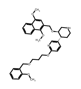 COc1ccccc1COCCCOc1ccc([C@H]2CCNC[C@@H]2OCc2cc(OC)c3ccccc3c2OC)cn1